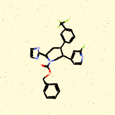 O=C(OCc1ccccc1)N1CC(c2ccnc(F)c2)C(c2cccc(C(F)(F)F)c2)CC1c1ncc[nH]1